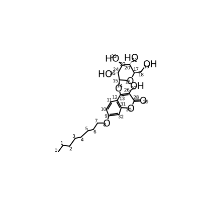 CCCCCCCCOc1ccc2c(O[C@@H]3O[C@H](CO)[C@@H](O)[C@H](O)[C@H]3O)c(O)c(=O)oc2c1